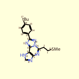 CSCCc1nc2nc[nH]c2c2nc(-c3ccc(C(C)(C)C)cc3)nn12